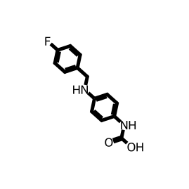 O=C(O)Nc1ccc(NCc2ccc(F)cc2)cc1